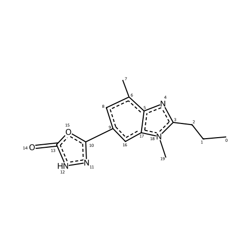 CCCc1nc2c(C)cc(-c3n[nH]c(=O)o3)cc2n1C